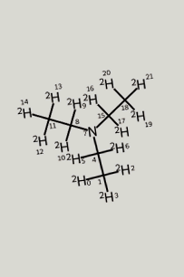 [2H]C([2H])([2H])C([2H])([2H])N(C([2H])([2H])C([2H])([2H])[2H])C([2H])([2H])C([2H])([2H])[2H]